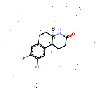 C[C@@]12CCC(=O)N[C@@H]1CCc1cc(Cl)c(Cl)cc12